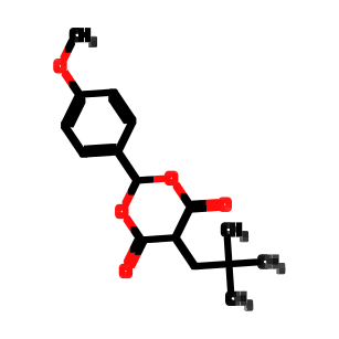 COc1ccc(C2OC(=O)C(CC(C)(C)C)C(=O)O2)cc1